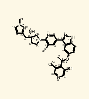 C[C@@H](Oc1ccc2[nH]nc(-c3cnc(N4CC[C@@](N)(Cc5ccn(C)n5)C4)c(F)c3)c2c1)c1c(Cl)cncc1Cl